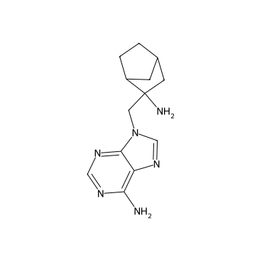 Nc1ncnc2c1ncn2CC1(N)CC2CCC1C2